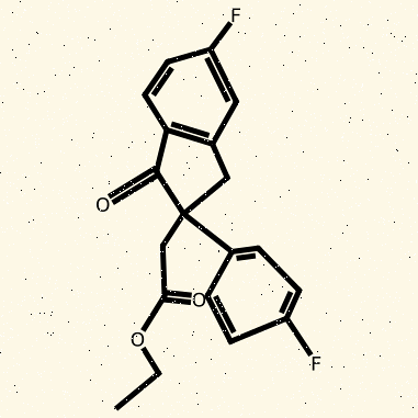 CCOC(=O)CC1(c2ccc(F)cc2)Cc2cc(F)ccc2C1=O